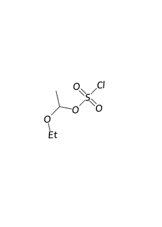 CCOC(C)OS(=O)(=O)Cl